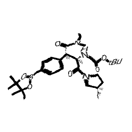 CN(C)C(=O)[C@@H](c1ccc(B2OC(C)(C)C(C)(C)O2)cc1)[C@H](NC(=O)OC(C)(C)C)C(=O)N1CC[C@H](F)C1